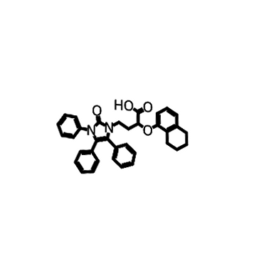 O=C(O)C(CCn1c(-c2ccccc2)c(-c2ccccc2)n(-c2ccccc2)c1=O)Oc1cccc2c1CCCC2